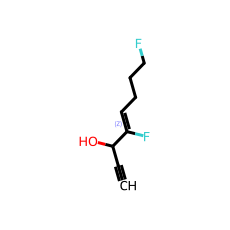 C#CC(O)/C(F)=C/CCCF